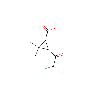 CC1(C)[C@H](C(=O)C(Cl)Cl)[C@@H]1C(=O)O